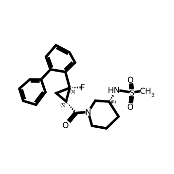 CS(=O)(=O)N[C@@H]1CCCN(C(=O)[C@@H]2C[C@@]2(F)c2ccccc2-c2ccccc2)C1